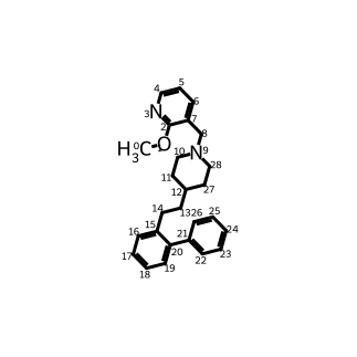 COc1ncccc1CN1CCC(CCc2ccccc2-c2ccccc2)CC1